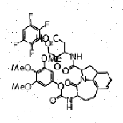 COc1cc(OC(=O)NC2CCc3cccc4c3N(C2=O)C(C(=O)NC(CC(=O)O)C(=O)COc2c(F)c(F)cc(F)c2F)C4)cc(OC)c1OC